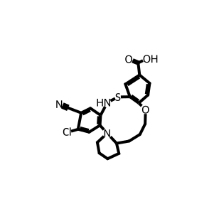 N#Cc1cc2c(cc1Cl)N1CCCCC1CCCOc1ccc(C(=O)O)cc1SN2